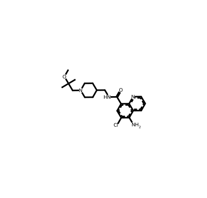 COC(C)(C)CN1CCC(CNC(=O)c2cc(Cl)c(N)c3cccnc23)CC1